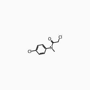 CN(C(=O)CCl)c1ccc(Cl)cc1